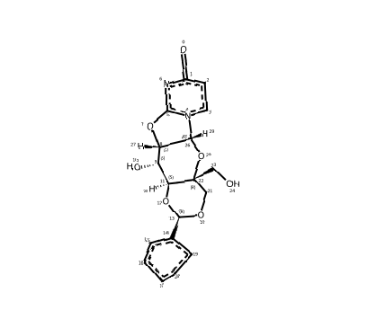 O=c1ccn2c(n1)O[C@H]1[C@@H](O)[C@@H]3O[C@H](c4ccccc4)OC[C@@]3(CO)O[C@H]12